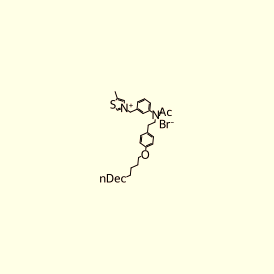 CCCCCCCCCCCCCCOc1ccc(CCN(C(C)=O)c2cccc(C[n+]3csc(C)c3)c2)cc1.[Br-]